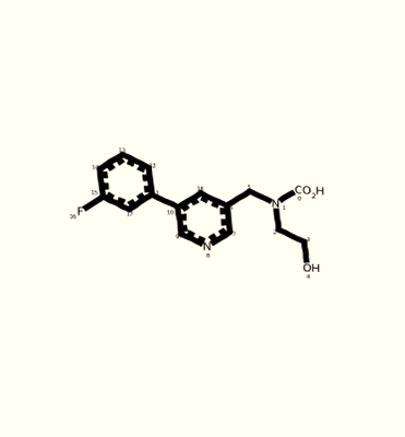 O=C(O)N(CCO)Cc1cncc(-c2cccc(F)c2)c1